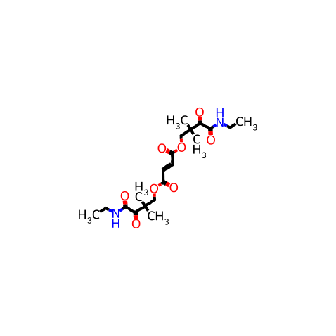 CCNC(=O)C(=O)C(C)(C)COC(=O)/C=C/C(=O)OCC(C)(C)C(=O)C(=O)NCC